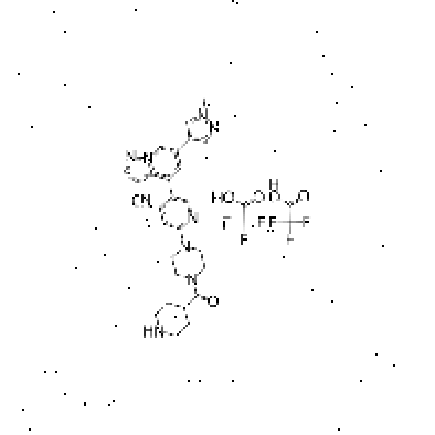 Cn1cc(-c2cc(-c3ccc(N4CCN(C(=O)C5CCNCC5)CC4)nc3)c3c(C#N)cnn3c2)cn1.O=C(O)C(F)(F)F.O=C(O)C(F)(F)F